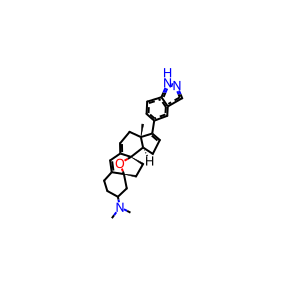 CN(C)C1CCC2=CC3=CC[C@]4(C)C(c5ccc6[nH]ncc6c5)=CC[C@H]4[C@@]34CC[C@]2(C1)O4